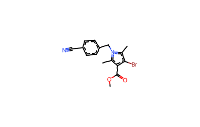 COC(=O)c1c(Br)c(C)n(Cc2ccc(C#N)cc2)c1C